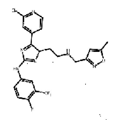 Cc1cc(CNCCC2N=C(Nc3ccc(F)c(C(F)(F)F)c3)N=C2c2ccnc(Cl)c2)no1